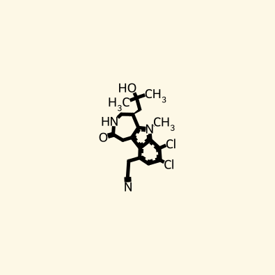 Cn1c2c(c3c(CC#N)cc(Cl)c(Cl)c31)CC(=O)NC[C@H]2CC(C)(C)O